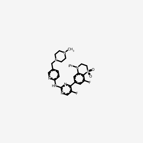 CC(C)N1CCS(=O)(=O)c2c(F)cc(-c3nc(Nc4ccc(CN5CCN(C)CC5)cn4)ncc3F)cc21